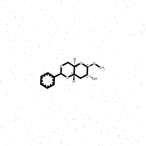 CO[C@@H]1O[C@@H]2COC(c3ccccc3)O[C@H]2C[C@H]1O